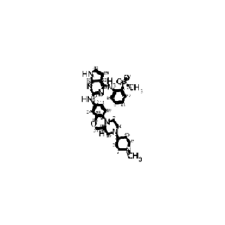 CN1CCC(N2CCN3c4ccc(Nc5nc(Nc6ccccc6P(C)(C)=O)c6cc[nH]c6n5)cc4OC[C@H]3C2)CC1